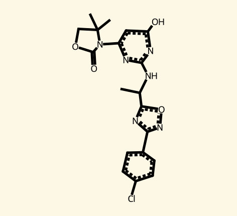 CC(Nc1nc(O)cc(N2C(=O)OCC2(C)C)n1)c1nc(-c2ccc(Cl)cc2)no1